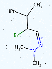 CC(C)C(C)C(Br)/C=N\N(C)C